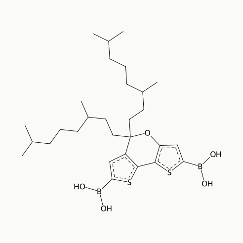 CC(C)CCCC(C)CCC1(CCC(C)CCCC(C)C)Oc2cc(B(O)O)sc2-c2sc(B(O)O)cc21